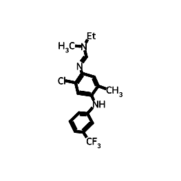 CCN(C)C=Nc1cc(C)c(Nc2cccc(C(F)(F)F)c2)cc1Cl